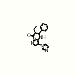 CCc1c(-c2ccccc2)[nH]c2c(-n3ccnc3)cnn2c1=O